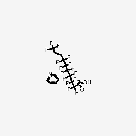 O=S(=O)(O)C(F)(F)C(F)(F)C(F)(F)C(F)(F)C(F)(F)C(F)(F)CCC(F)(F)F.c1ccncc1